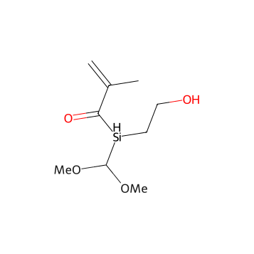 C=C(C)C(=O)[SiH](CCO)C(OC)OC